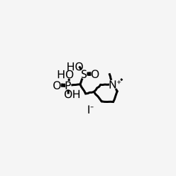 C[N+]1(C)CCCC(CC(S(=O)O)P(=O)(O)O)C1.[I-]